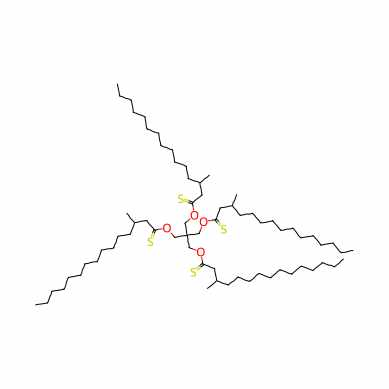 CCCCCCCCCCCCC(C)CC(=S)OCC(COC(=S)CC(C)CCCCCCCCCCCC)(COC(=S)CC(C)CCCCCCCCCCCC)COC(=S)CC(C)CCCCCCCCCCCC